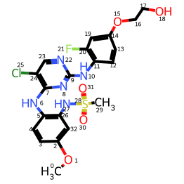 COc1ccc(Nc2nc(Nc3ccc(OCCO)cc3F)ncc2Cl)c(NS(C)(=O)=O)c1